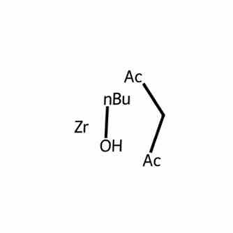 CC(=O)CC(C)=O.CCCCO.[Zr]